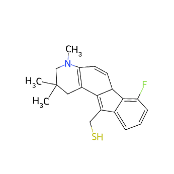 CN1CC(C)(C)CC2=C1C=CC1C2=C(CS)c2cccc(F)c21